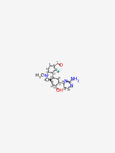 CN(C)c1ccc(C=O)c(F)c1-c1ccc(O)c(-c2ccnc(N)n2)c1